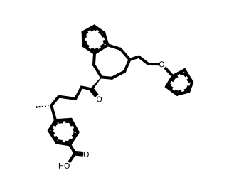 C[C@H](CCCC(=O)[C@@H]1CCC(CCOc2ccccc2)Cc2ccccc2C1)c1ccc(C(=O)O)cc1